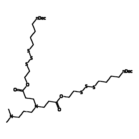 CCCCCCCCCCCCCCSSSCCOC(=O)CCN(CCCN(C)C)CCC(=O)OCCSSSCCCCCCCCCCCCCC